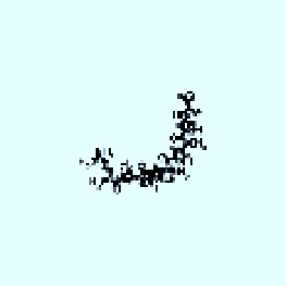 CN(C)CCCN(C)C(=O)c1cc(N(C)C(=O)c2cc(N(C)C(=O)c3cc(N(C)C(=O)c4cc(NC(=O)C5CO5)c[nH]4)c[nH]3)c[nH]2)c[nH]1.Cl